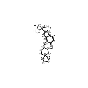 CC(C)(C)c1nc2ccc(Cl)c(SC3CCC4(CC3)OCCO4)c2o1